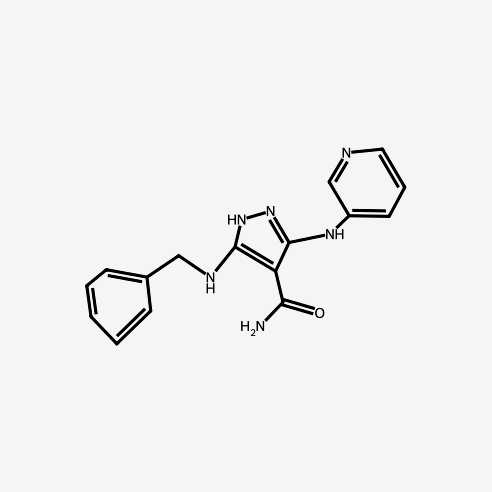 NC(=O)c1c(Nc2cccnc2)n[nH]c1NCc1ccccc1